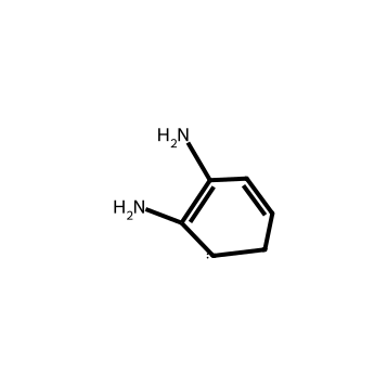 NC1=C(N)C=CC[C]1